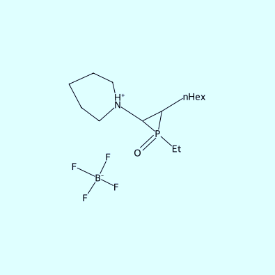 CCCCCCC1C([NH+]2CCCCC2)P1(=O)CC.F[B-](F)(F)F